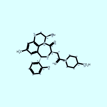 Cc1cc2c3c(c1)[C@@H](c1ccccc1Cl)O[C@H](CC(=O)N1CCC(C(=O)O)CC1)C(=O)N3[C@H](C(C)(C)C)CO2